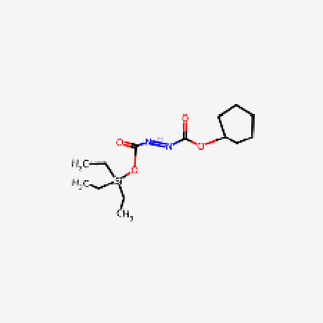 CC[Si](CC)(CC)OC(=O)/N=N/C(=O)OC1CCCCC1